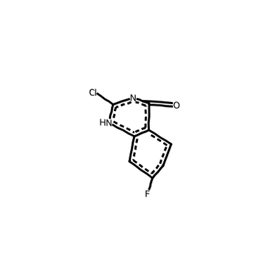 O=c1nc(Cl)[nH]c2cc(F)ccc12